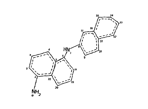 Nc1cccc2c(Nc3ccc4ccccc4c3)cccc12